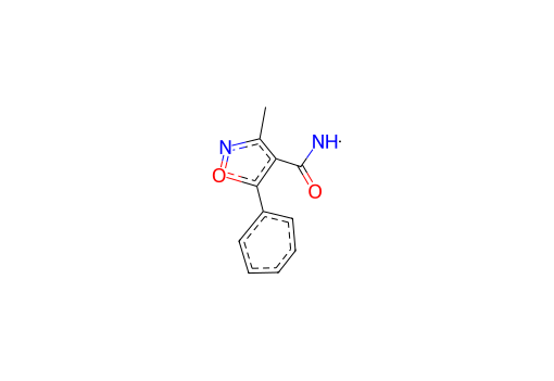 Cc1noc(-c2ccccc2)c1C([NH])=O